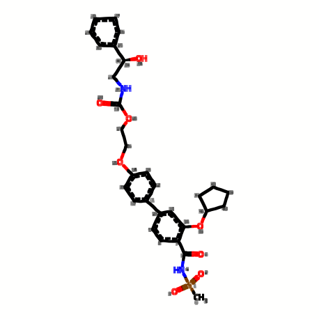 CS(=O)(=O)NC(=O)c1ccc(-c2ccc(OCCOC(=O)NC[C@H](O)c3ccccc3)cc2)cc1OC1CCCC1